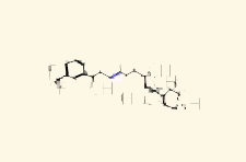 CC(CC/C=C/CC(C)c1cccc(C(F)(F)F)c1)CC(C)(C)C1CCNCC1